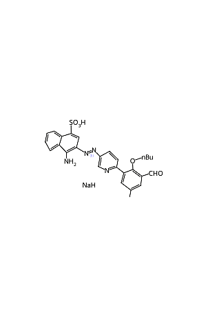 CCCCOc1c(C=O)cc(C)cc1-c1ccc(/N=N/c2cc(S(=O)(=O)O)c3ccccc3c2N)cn1.[NaH]